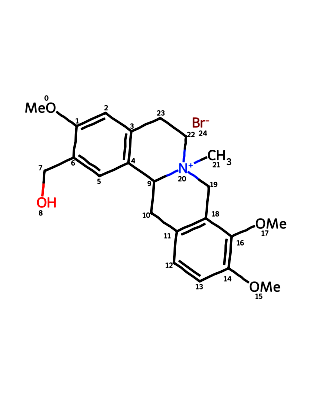 COc1cc2c(cc1CO)C1Cc3ccc(OC)c(OC)c3C[N+]1(C)CC2.[Br-]